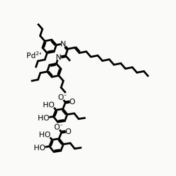 CCCCCCCCCCCCC=CC(=Nc1cc(CCC)cc(CCC)c1)C(C)=Nc1cc(CCC)cc(CCC)c1.CCCc1ccc(O)c(O)c1C(=O)[O-].CCCc1ccc(O)c(O)c1C(=O)[O-].[Pd+2]